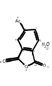 CC(=O)c1ccc2c(c1)C(=O)OC2=O.O